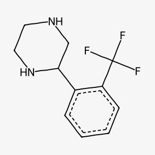 FC(F)(F)c1ccccc1C1CNCCN1